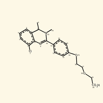 CC1c2cccc(Cl)c2N=C(c2ccc(OCCOCC(=O)O)cc2)N1C